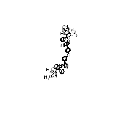 COC(=O)N[C@H](C(=O)N1CCC[C@H]1c1ncc(-c2ccc(Oc3cccc(-c4cnc([C@@H]5CCCN5C(=O)[C@@H](NC(=O)OC)C(C)C)[nH]4)c3)cc2)[nH]1)C(C)C